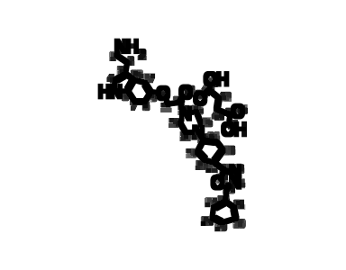 NCCc1c[nH]c2ccc(OCC(=O)N3CCN(c4ccc(-c5nnc(-c6ccccc6)o5)cc4)CC3)cc12.O=C(O)/C=C/C(=O)O